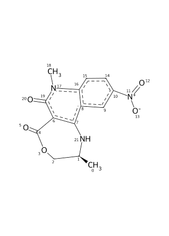 C[C@H]1COC(=O)c2c(c3cc([N+](=O)[O-])ccc3n(C)c2=O)N1